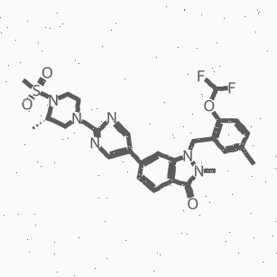 Cc1ccc(OC(F)F)c(Cn2c3cc(-c4cnc(N5CCN(S(C)(=O)=O)[C@@H](C)C5)nc4)ccc3c(=O)n2C)c1